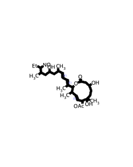 CCC(N=O)C(C)CC(O)CC(C)/C=C/C=C(\C)C1OC(=O)CC(O)CCC(C)(O)C(OC(C)=O)/C=C/C1C